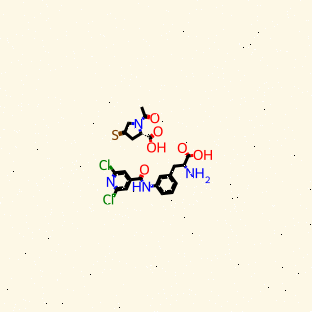 CC(=O)N1CC(=S)C[C@H]1C(=O)O.NC(Cc1cccc(NC(=O)c2cc(Cl)nc(Cl)c2)c1)C(=O)O